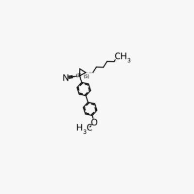 CCCCCC[C@H]1C[C@@]1(C#N)c1ccc(-c2ccc(OC)cc2)cc1